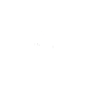 C/C=C\C=C/C(N)C(CC)C(C)C1=CCCC=C1